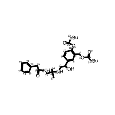 CCCCC(=O)OCc1cc(C(O)CNC(C)(C)CNC(=O)Cc2ccccc2)ccc1OC(=O)CCCC